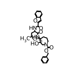 CC(C)CC(NC(=O)c1cc2ccccc2o1)C(=O)NC1CCCN(C(=O)OCc2ccccc2)CC1O